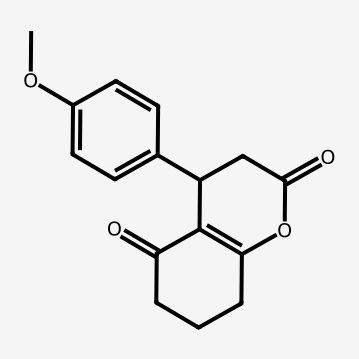 COc1ccc(C2CC(=O)OC3=C2C(=O)CCC3)cc1